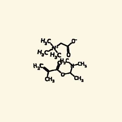 C=C(C)C(=O)OC(C)N(C)C.C[N+](C)(C)CC(=O)[O-]